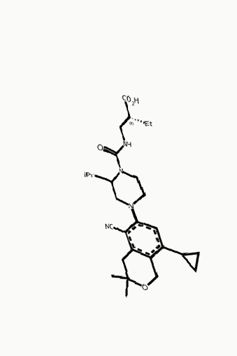 CC[C@H](CNC(=O)N1CCN(c2cc(C3CC3)c3c(c2C#N)CC(C)(C)OC3)CC1C(C)C)C(=O)O